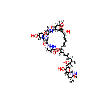 CC[C@H]1C[C@H](C)[C@@]2(NC1=O)O[C@@H](C[C@H](O)[C@@H](C)CC/C=C/C=C(\C)[C@@H]1C/C=C/C=C/C[C@H](O)[C@H](C)[C@H]3O[C@](C)(OC)CC[C@H]3C(=O)N[C@@H](C(C)C)C(=O)N[C@@H](Cc3cccc(O)c3)C(=O)N3CCCC(N3)C(=O)O1)[C@H](C)[C@H](O)[C@@H]2C